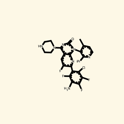 Cc1ccnc(C(C)C)c1-n1c(=O)nc(N2CCNCC2)c2cc(F)c(-c3c(F)c(N)c(F)c(F)c3Cl)nc21